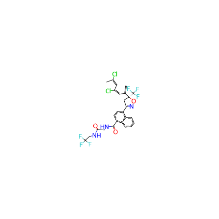 C=C(/C=C(Cl)\C=C(/C)Cl)[C@]1(C(F)(F)F)CC(c2ccc(C(=O)NCC(=O)NCC(F)(F)F)c3ccccc23)=NO1